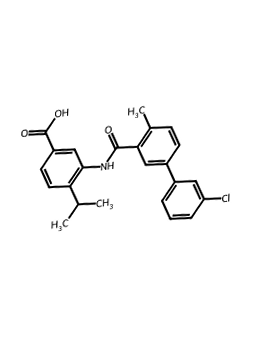 Cc1ccc(-c2cccc(Cl)c2)cc1C(=O)Nc1cc(C(=O)O)ccc1C(C)C